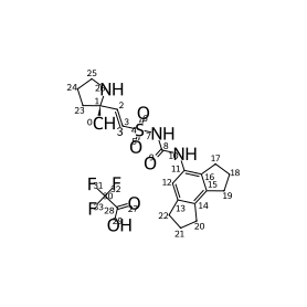 C[C@@]1(/C=C/S(=O)(=O)NC(=O)Nc2cc3c(c4c2CCC4)CCC3)CCCN1.O=C(O)C(F)(F)F